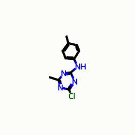 Cc1ccc(Nc2nc(C)nc(Cl)n2)cc1